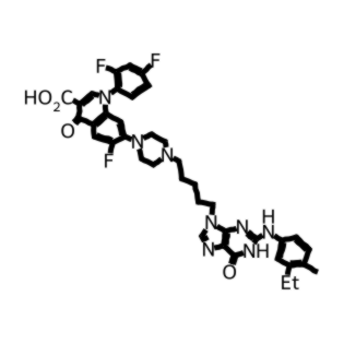 CCc1cc(Nc2nc3c(ncn3CCCCCN3CCN(c4cc5c(cc4F)c(=O)c(C(=O)O)cn5-c4ccc(F)cc4F)CC3)c(=O)[nH]2)ccc1C